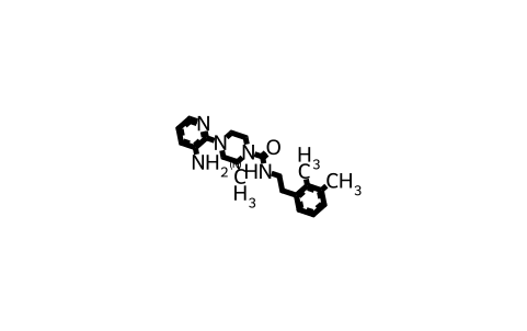 Cc1cccc(CCNC(=O)N2CCN(c3ncccc3N)C[C@H]2C)c1C